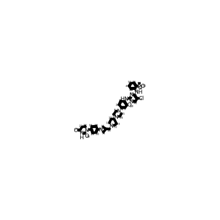 COc1cc(N2CCN(C3CCN(CC4CN(c5ccc(N6CCC(=O)NC6=O)cc5)C4)CC3)CC2)ccc1Nc1ncc(Cl)c(Nc2ccccc2P(C)(C)=O)n1